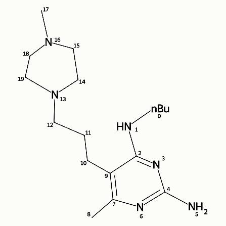 CCCCNc1nc(N)nc(C)c1CCCN1CCN(C)CC1